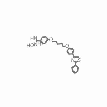 N=C(NO)c1ccc(OCCCCCOc2ccc(-c3csc(-c4ccccc4)n3)cc2)cc1